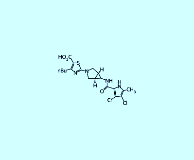 CCCCc1nc(N2C[C@@H]3C(NC(=O)c4[nH]c(C)c(Cl)c4Cl)[C@@H]3C2)sc1C(=O)O